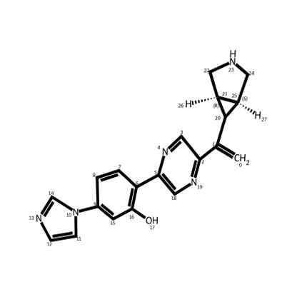 C=C(c1cnc(-c2ccc(-n3ccnc3)cc2O)cn1)C1[C@H]2CNC[C@@H]12